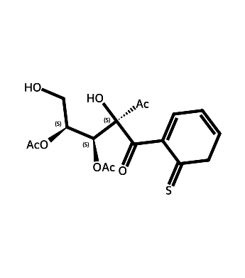 CC(=O)O[C@@H](CO)[C@H](OC(C)=O)[C@](O)(C(C)=O)C(=O)C1=CC=CCC1=S